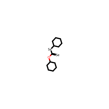 [Se]=C(OC1CCCCC1)[Se]C1CCCCC1